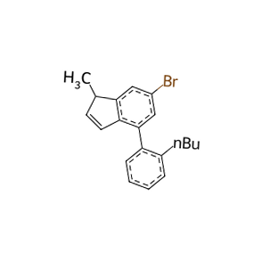 CCCCc1ccccc1-c1cc(Br)cc2c1C=CC2C